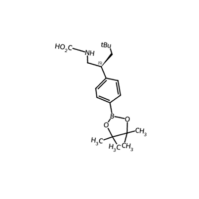 CC(C)(C)C[C@H](CNC(=O)O)c1ccc(B2OC(C)(C)C(C)(C)O2)cc1